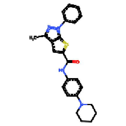 Cc1nn(-c2ccccc2)c2sc(C(=O)Nc3ccc(N4CCCCC4)cc3)cc12